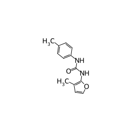 Cc1ccc(NC(=O)Nc2occc2C)cc1